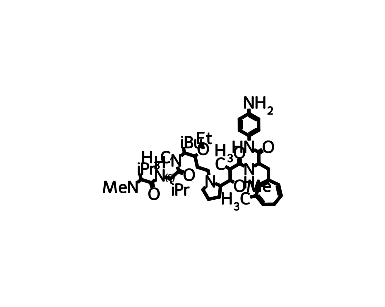 CCOC(CCN1CCCC1C(OC)C(C)C(=O)NC(CC1=CC(C)=CCC=C1)C(=O)Nc1ccc(N)cc1)C(C(C)CC)N(C)C(=O)[C@@H](NC(=O)C(NC)C(C)C)C(C)C